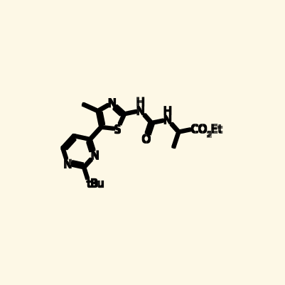 CCOC(=O)C(C)NC(=O)Nc1nc(C)c(-c2ccnc(C(C)(C)C)n2)s1